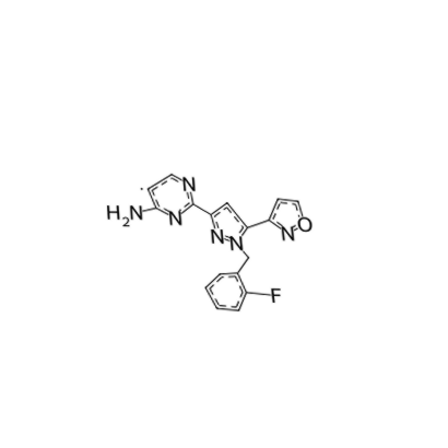 Nc1[c]cnc(-c2cc(-c3ccon3)n(Cc3ccccc3F)n2)n1